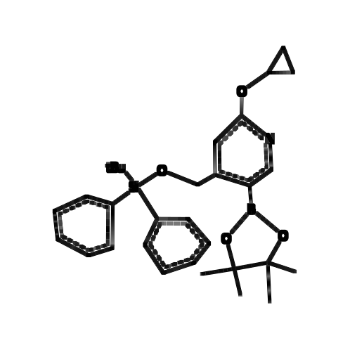 CC1(C)OB(c2cnc(OC3CC3)cc2CO[Si](c2ccccc2)(c2ccccc2)C(C)(C)C)OC1(C)C